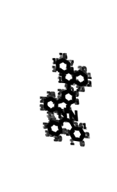 c1ccc(-c2nc3c4ccc(-c5cc6ccccc6c6ccccc56)cc4c4ccccc4n3c2-c2ccccc2)cc1